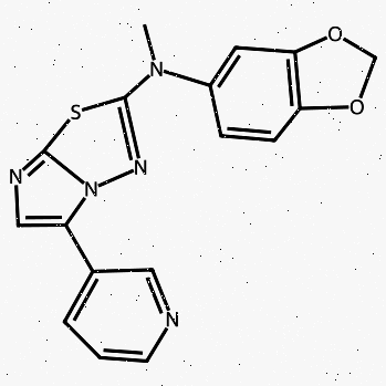 CN(c1ccc2c(c1)OCO2)c1nn2c(-c3cccnc3)cnc2s1